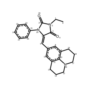 CCN1C(=O)/C(=C\c2cc3c4c(c2)CCCN4CCC3)N(c2ccccc2)C1=O